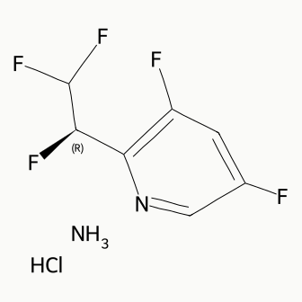 Cl.Fc1cnc([C@@H](F)C(F)F)c(F)c1.N